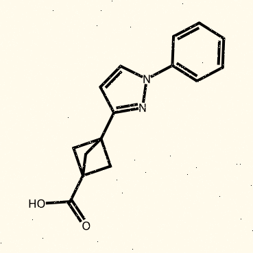 O=C(O)C12CC(c3ccn(-c4ccccc4)n3)(C1)C2